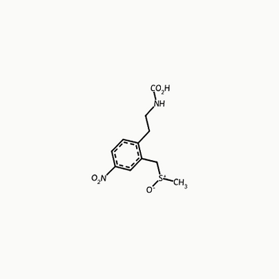 C[S+]([O-])Cc1cc([N+](=O)[O-])ccc1CCNC(=O)O